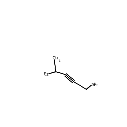 CCCCC#C[C](C)CC